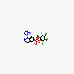 O=S(=O)(Oc1c(F)c(F)c(F)c(F)c1F)c1ccc2c(C3CCCN3)nccc2c1